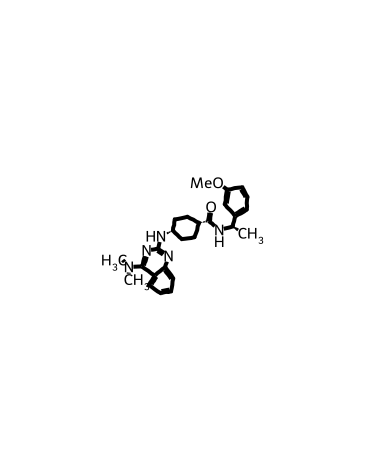 COc1cccc([C@@H](C)NC(=O)[C@H]2CC[C@@H](Nc3nc(N(C)C)c4ccccc4n3)CC2)c1